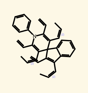 C=CC1=C(/C=C\C)C2(C(C=C)=C(/C=C\C)c3ccccc32)C(/C=C\C)=C(C=C)N1c1ccccc1